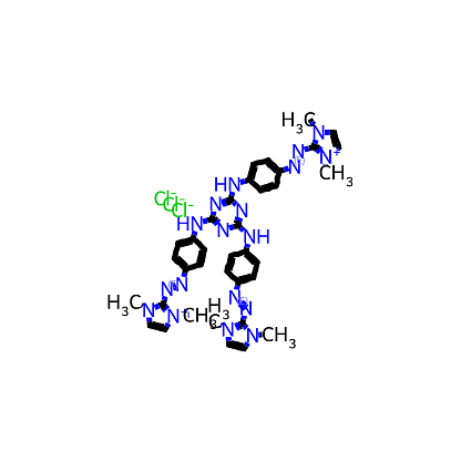 Cn1cc[n+](C)c1/N=N/c1ccc(Nc2nc(Nc3ccc(/N=N/c4n(C)cc[n+]4C)cc3)nc(Nc3ccc(/N=N/c4n(C)cc[n+]4C)cc3)n2)cc1.[Cl-].[Cl-].[Cl-]